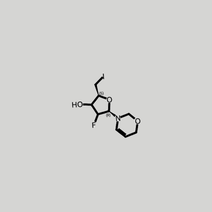 OC1C(F)[C@H](N2C=CCOC2)O[C@@H]1CI